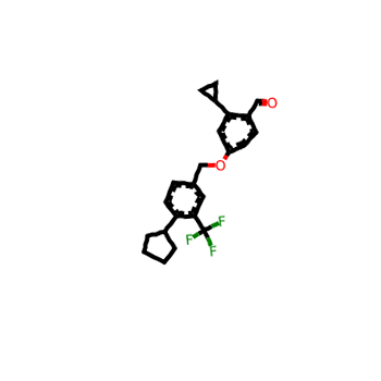 O=Cc1ccc(OCc2ccc(C3CCCC3)c(C(F)(F)F)c2)cc1C1CC1